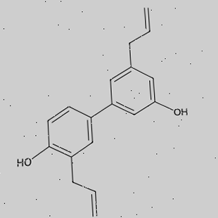 C=CCc1cc(O)cc(-c2ccc(O)c(CC=C)c2)c1